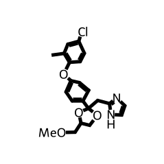 COCC1COC(Cc2ncc[nH]2)(c2ccc(Oc3ccc(Cl)cc3C)cc2)O1